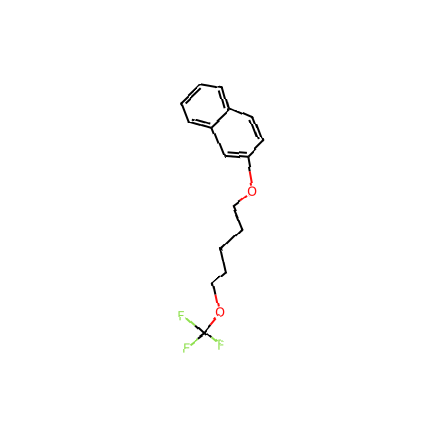 FC(F)(F)OCCCCCOc1ccc2ccccc2c1